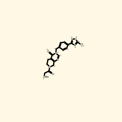 COCC(=O)N1CCc2c(ncn(Cc3ccc(-c4noc(C(F)(F)F)n4)cc3)c2=O)C1